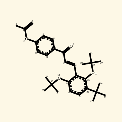 C=C(C)Oc1ccc(C(=O)/C=C/c2c(OC(C)(C)C)ccc(C(C)(C)C)c2OC(C)(C)C)cc1